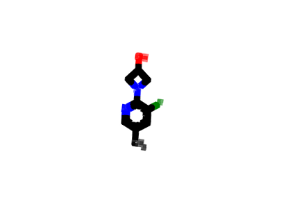 Cc1cnc(N2CC(O)C2)c(F)c1